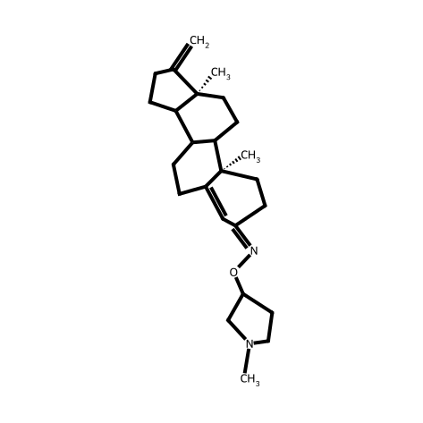 C=C1CCC2C3CCC4=CC(=NOC5CCN(C)C5)CC[C@]4(C)C3CC[C@]12C